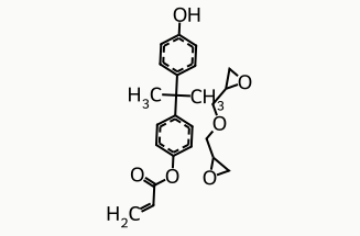 C(OCC1CO1)C1CO1.C=CC(=O)Oc1ccc(C(C)(C)c2ccc(O)cc2)cc1